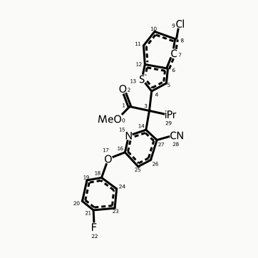 COC(=O)C(c1cc2cc(Cl)ccc2s1)(c1nc(Oc2ccc(F)cc2)ccc1C#N)C(C)C